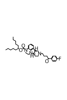 CCCCCC(CCCCC)OC(=O)N1CCN2c3c(cccc31)[C@@H]1CN(CCCC(=O)c3ccc(F)cc3)CC[C@@H]12